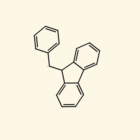 [CH](c1ccccc1)C1c2ccccc2-c2ccccc21